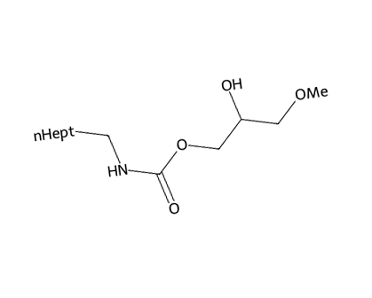 CCCCCCCCNC(=O)OCC(O)COC